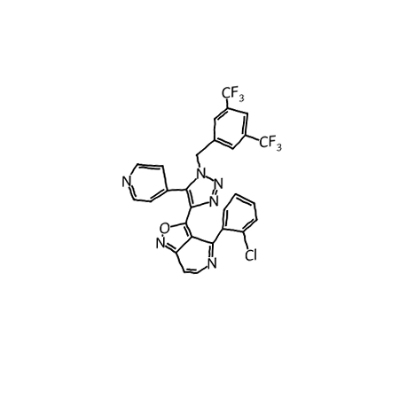 FC(F)(F)c1cc(Cn2nnc(-c3onc4ccnc(-c5ccccc5Cl)c34)c2-c2ccncc2)cc(C(F)(F)F)c1